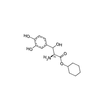 N[C@H](C(=O)OC1CCCCC1)C(O)c1ccc(O)c(O)c1